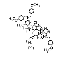 COc1ccc(CNc2ncncc2C(C)N2C=C(OC[C@@H]3CCN3CC(F)F)Oc3c(F)c(-c4nc(N(Cc5ccc(OC)cc5)Cc5ccc(OC)cc5)cc(C)c4C(F)(F)F)c(Cl)c4c3=C2NCN=4)cc1